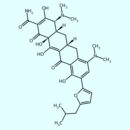 CC(C)Cc1ccc(-c2cc(N(C)C)c3c(c2O)C(=O)C2=C(O)[C@]4(O)C(=O)C(C(N)=O)=C(O)[C@@H](N(C)C)[C@@H]4C[C@@H]2C3)o1